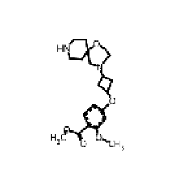 COC(=O)c1ccc(OC2CC(N3CCOC4(CCNCC4)C3)C2)cc1OC